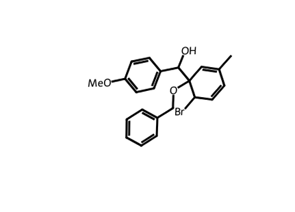 COc1ccc(C(O)C2(OCc3ccccc3)C=C(C)C=CC2Br)cc1